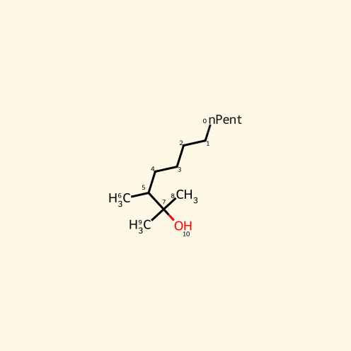 CCCCCCCCCC(C)C(C)(C)O